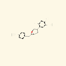 Cc1cc(C2CC3CC2CC3Cc2ccc(O)cc2)c(C)cc1O